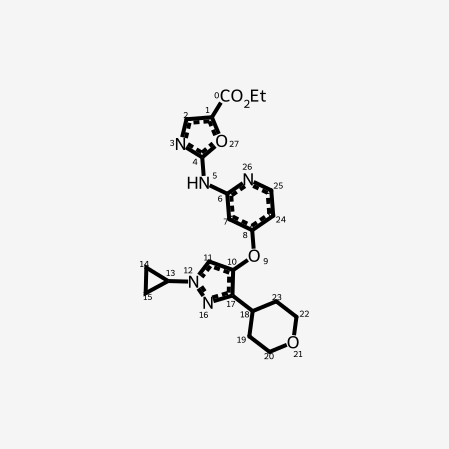 CCOC(=O)c1cnc(Nc2cc(Oc3cn(C4CC4)nc3C3CCOCC3)ccn2)o1